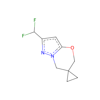 FC(F)c1cc2n(n1)CC1(CC1)CO2